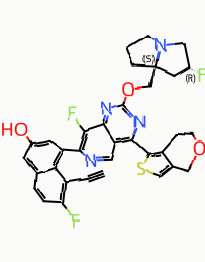 C#Cc1c(F)ccc2cc(O)cc(-c3ncc4c(-c5scc6c5CCOC6)nc(OC[C@@]56CCCN5C[C@H](F)C6)nc4c3F)c12